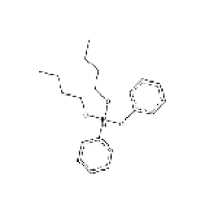 CCCCO[PH](OCCCC)(Oc1ccccc1)c1ccccc1